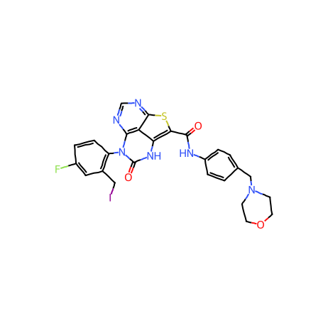 O=C(Nc1ccc(CN2CCOCC2)cc1)c1sc2ncnc3c2c1NC(=O)N3c1ccc(F)cc1CI